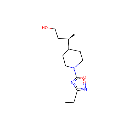 CCc1noc(N2CCC([C@H](C)CCO)CC2)n1